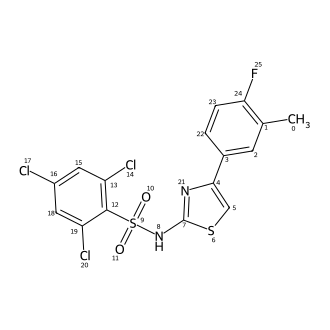 Cc1cc(-c2csc(NS(=O)(=O)c3c(Cl)cc(Cl)cc3Cl)n2)ccc1F